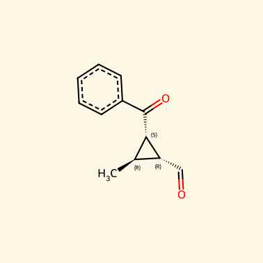 C[C@@H]1[C@@H](C=O)[C@H]1C(=O)c1ccccc1